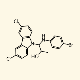 CC(O)C(Nc1ccc(Br)cc1)n1c2ccc(Cl)cc2c2cc(Cl)ccc21